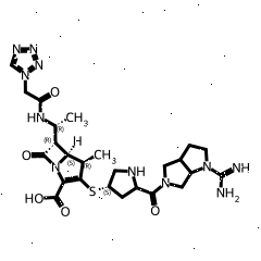 C[C@@H](NC(=O)Cn1cnnn1)[C@H]1C(=O)N2C(C(=O)O)=C(S[C@@H]3CNC(C(=O)N4CC5CCN(C(=N)N)C5C4)C3)[C@H](C)[C@H]12